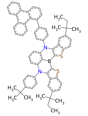 CCC(C)(C)c1ccc2sc3c(c2c1)N(c1ccc(-c2cccc4c5ccccc5c5ccccc5c24)cc1)c1cccc2c1B3c1sc3ccc(C(C)(C)CC)cc3c1N2c1ccc(C(C)(C)C)cc1